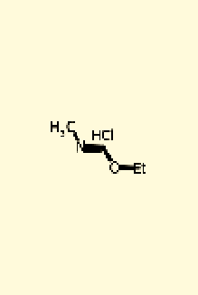 CCOC=NC.Cl